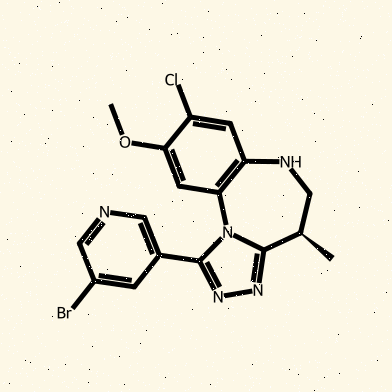 COc1cc2c(cc1Cl)NC[C@@H](C)c1nnc(-c3cncc(Br)c3)n1-2